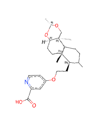 CC1CCC2[C@]3(C)CO[C@@H](C)O[C@@H]3CC[C@@]2(C)[C@@H]1CCOc1ccnc(C(=O)O)c1